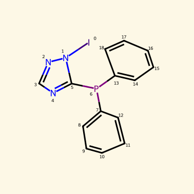 In1ncnc1P(c1ccccc1)c1ccccc1